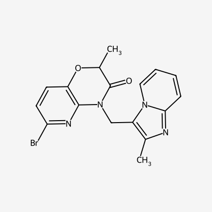 Cc1nc2ccccn2c1CN1C(=O)C(C)Oc2ccc(Br)nc21